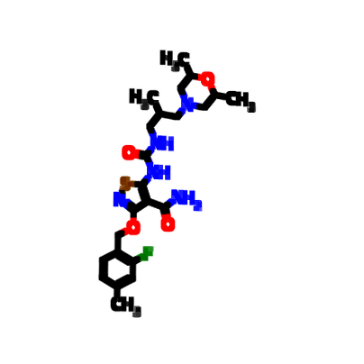 Cc1ccc(COc2nsc(NC(=O)NCC(C)CN3CC(C)OC(C)C3)c2C(N)=O)c(F)c1